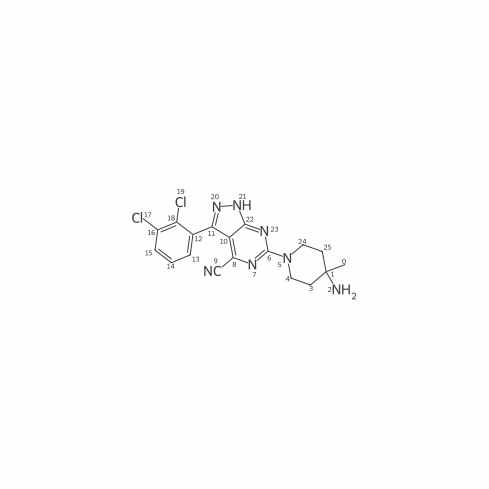 CC1(N)CCN(c2nc(C#N)c3c(-c4cccc(Cl)c4Cl)n[nH]c3n2)CC1